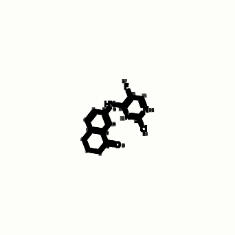 O=C1CCCc2ccc(Nc3nc(Cl)ncc3F)cc21